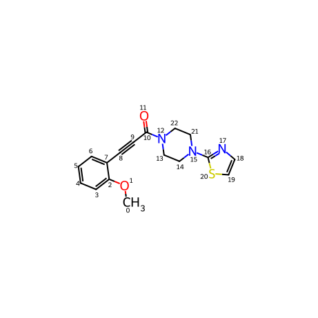 COc1ccccc1C#CC(=O)N1CCN(c2nccs2)CC1